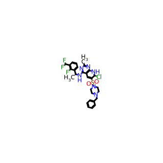 Cc1nc2c(c(N[C@H](C)c3cccc(C(F)F)c3F)n1)C=C(S(=O)(=O)N1CCN(Cc3ccccc3)CC1)C(Cl)N2